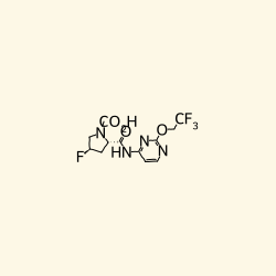 O=C(Nc1ccnc(OCC(F)(F)F)n1)[C@@H]1C[C@@H](F)CN1C(=O)O